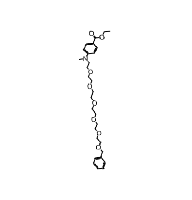 CCOC(=O)c1ccc(N(C)CCOCCOCCOCCOCCOCCOCc2ccccc2)cc1